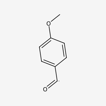 COc1ccc([C]=O)cc1